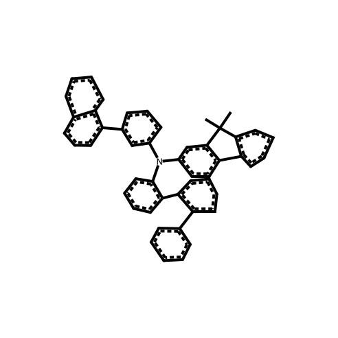 CC1(C)c2ccccc2-c2ccc(N(c3cccc(-c4cccc5ccccc45)c3)c3ccccc3-c3ccccc3-c3ccccc3)cc21